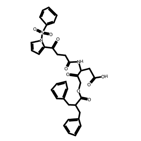 O=C(O)CC(NC(=O)CCC(=O)c1cccn1S(=O)(=O)c1ccccc1)C(=O)COC(=O)C(Cc1ccccc1)Cc1ccccc1